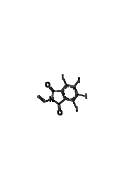 C=CN1C(=O)c2c(I)c(I)c(I)c(I)c2C1=O